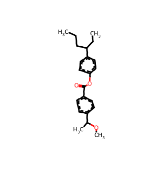 CCCC(CC)c1ccc(OC(=O)c2ccc(C(C)OC)cc2)cc1